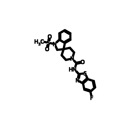 CS(=O)(=O)N1CC2(CCN(C(=O)Nc3nc4cc(F)ccc4s3)CC2)c2ccccc21